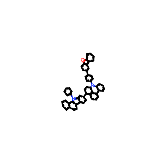 c1ccc(-c2ccccc2N(c2ccc(-c3ccc4oc5ccccc5c4c3)cc2)c2ccc(-c3ccc4c5ccc6ccccc6c5n(-c5ccccc5)c4c3)cc2)cc1